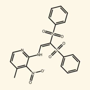 Cc1ccnc(NC=C(S(=O)(=O)c2ccccc2)S(=O)(=O)c2ccccc2)c1[N+](=O)[O-]